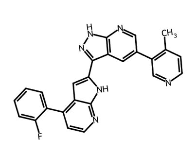 Cc1ccncc1-c1cnc2[nH]nc(-c3cc4c(-c5ccccc5F)ccnc4[nH]3)c2c1